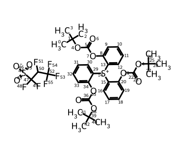 CC(C)(C)OC(=O)Oc1ccccc1[S+](c1ccccc1OC(=O)OC(C)(C)C)c1ccccc1OC(=O)OC(C)(C)C.O=S(=O)([O-])C(F)(F)C(F)C(F)(F)F